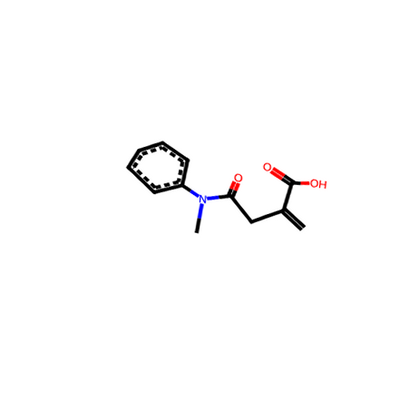 C=C(CC(=O)N(C)c1ccccc1)C(=O)O